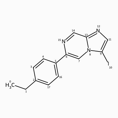 CCc1ccc(-c2cn3c(I)cnc3cn2)cc1